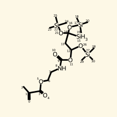 C=C(C)C(=O)OCCNC(=O)OC(CC([SiH3])(O[Si](C)(C)C)O[Si](C)(C)C)O[Si](C)(C)C